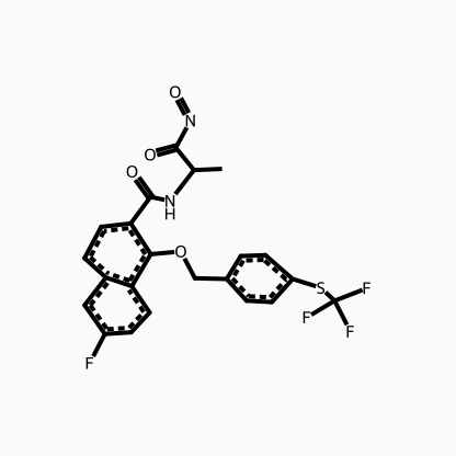 CC(NC(=O)c1ccc2cc(F)ccc2c1OCc1ccc(SC(F)(F)F)cc1)C(=O)N=O